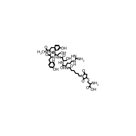 CNC(=O)C(Cc1ccc(O)cc1)NC(=O)C(Cc1ccc(O)cc1)NC(=O)C(CO)NC(=O)C(CO)NC(=O)C(CCCNC(=N)N)NC(=O)CCCCCN1C(=O)CC(SCC(N)C(=O)O)C1=O